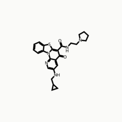 O=C(NCCN1CCCC1)c1c(=O)c2cc(NCC3CC3)cnc2n2c1sc1ccccc12